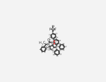 C[C@H](c1ccccc1)N1C(=O)N(Cc2ccccc2)[C@@H]2C([P+](c3ccccc3)(c3ccccc3)c3ccccc3)SC[C@@H]21.F[B-](F)(F)F